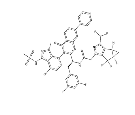 Cn1nc(NS(C)(=O)=O)c2c(Cl)ccc(-n3c([C@H](Cc4cc(F)cc(F)c4)NC(=O)Cn4nc(C(F)F)c5c4C(F)(F)[C@@H]4C[C@H]54)nc4cc(-c5ccncc5)ccc4c3=O)c21